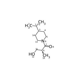 CC(C)C1CCN(C(=O)[C@@H](C)CO)CC1